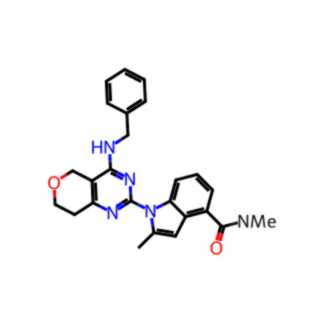 CNC(=O)c1cccc2c1cc(C)n2-c1nc2c(c(NCc3ccccc3)n1)COCC2